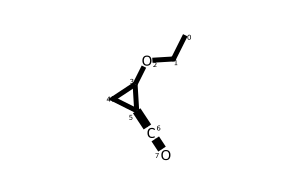 CCOC1CC1=C=O